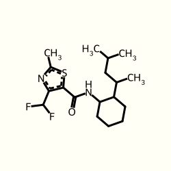 Cc1nc(C(F)F)c(C(=O)NC2CCCCC2C(C)CC(C)C)s1